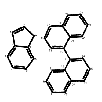 C1=Cc2ccccc2C1.c1ccc2c(-c3cccc4ccccc34)cccc2c1